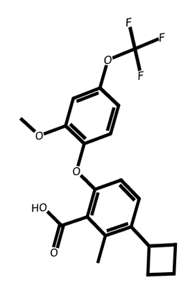 COc1cc(OC(F)(F)F)ccc1Oc1ccc(C2CCC2)c(C)c1C(=O)O